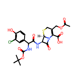 CC(=O)OCC1=C(C(=O)O)N2C(=O)[C@@H](NC(=O)C(NC(=O)OC(C)(C)C)c3ccc(O)c(Cl)c3)[C@H]2SC1